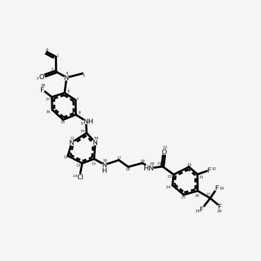 C=CC(=O)N(C)c1cc(Nc2ncc(Cl)c(NCCCNC(=O)c3ccc(C(F)(F)F)c(F)c3)n2)ccc1F